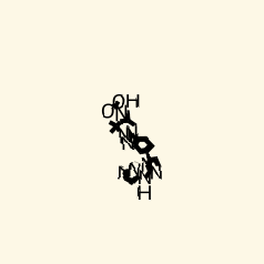 Cn1nccc1Nc1nccc(-c2ccc3c(c2)nnn3CC2CN(C(=O)O)C2C(C)(C)C)n1